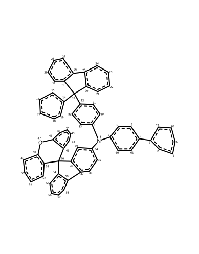 c1ccc(-c2ccc(N(c3ccc(C4(c5ccccc5)c5ccccc5-c5ccccc54)cc3)c3ccc4c(c3)C3(c5ccccc5Oc5ccccc53)c3ccccc3-4)cc2)cc1